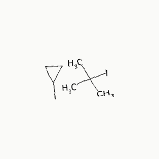 CC(C)(C)I.IC1CC1